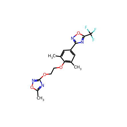 Cc1nc(OCCOc2c(C)cc(-c3noc(C(F)(F)F)n3)cc2C)no1